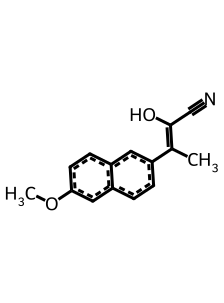 COc1ccc2cc(C(C)=C(O)C#N)ccc2c1